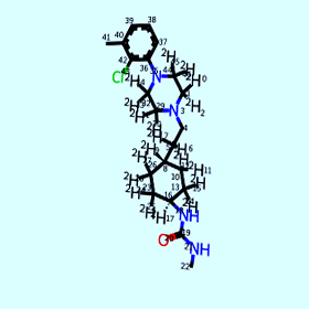 [2H]C1([2H])N(CC([2H])([2H])[C@]2([2H])C([2H])([2H])C([2H])([2H])[C@@]([2H])(NC(=O)NC)C([2H])([2H])C2([2H])[2H])C([2H])([2H])C([2H])([2H])N(c2cccc(C)c2Cl)C1([2H])[2H]